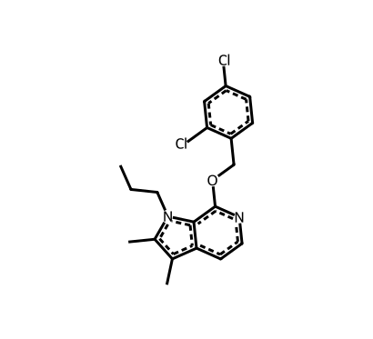 CCCn1c(C)c(C)c2ccnc(OCc3ccc(Cl)cc3Cl)c21